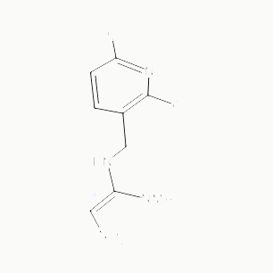 CN/C(=C\[N+](=O)[O-])NCc1ccc(Cl)nc1Cl